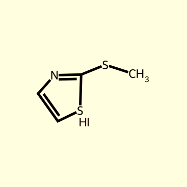 CSc1nccs1.I